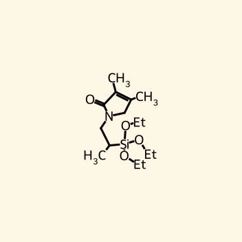 CCO[Si](OCC)(OCC)C(C)CN1CC(C)=C(C)C1=O